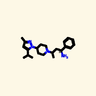 Cc1cc(C(C)C)n(C2CCN(C(C)C[C@H](N)c3ccccc3)CC2)n1